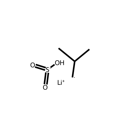 O=[S-](=O)O.[CH2]C(C)C.[Li+]